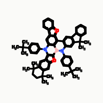 CC(C)(C)c1ccc(N2B3c4oc5cc6c(cc5c4N(c4ccc(C(C)(C)C)cc4)c4cc5c(oc7ccccc75)c(c43)-c3cc4c(cc32)C(C)(C)c2ccccc2-4)C(C)(C)CCC6(C)C)cc1